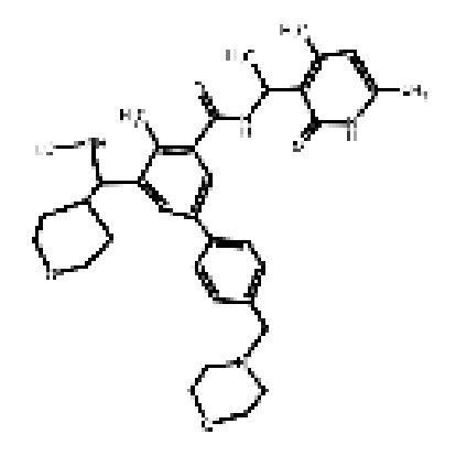 CNC(c1cc(-c2ccc(CN3CCOCC3)cc2)cc(C(=O)NC(C)c2c(C)cc(C)[nH]c2=O)c1C)C1CCOCC1